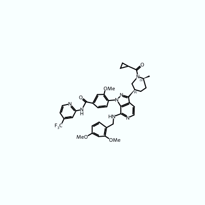 COc1ccc(CNc2nccc3c([C@@H]4CC[C@H](C)N(C(=O)C5CC5)C4)nn(-c4ccc(C(=O)Nc5cc(C(F)(F)F)ccn5)cc4OC)c23)c(OC)c1